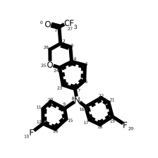 O=C(C1=Cc2ccc(N(c3ccc(F)cc3)c3ccc(F)cc3)cc2OC1)C(F)(F)F